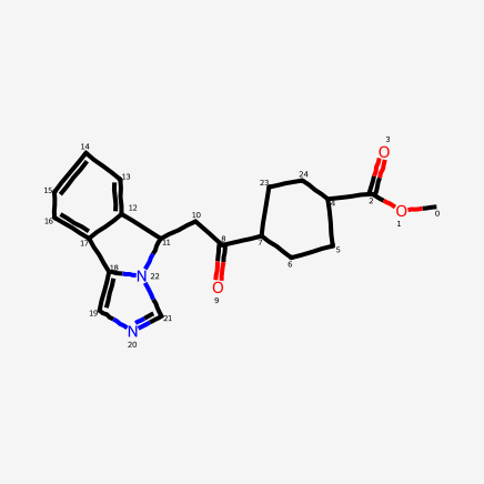 COC(=O)C1CCC(C(=O)CC2c3ccccc3-c3cncn32)CC1